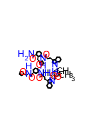 CC(C)(C)OC(=O)Cn1cc(C=CC(=O)Nc2cccc(C(=O)NCc3ccco3)c2)c2ccccc21.NC(=O)c1cccc(NC(=O)C=Cc2c[nH]c3ccccc23)c1Cc1ccco1